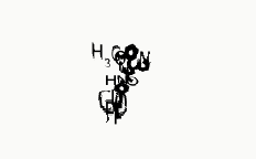 COc1ccccc1-c1ncc(C(=O)Nc2ccc(OC(F)(F)Cl)cc2)cc1-c1cccnc1